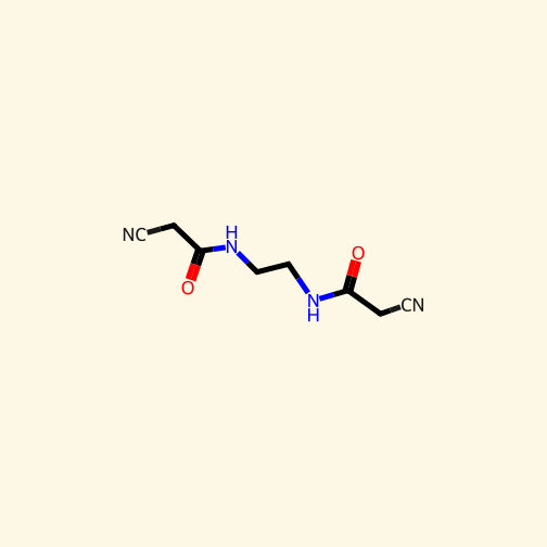 N#CCC(=O)NCCNC(=O)CC#N